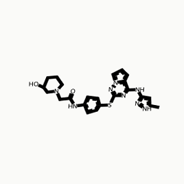 Cc1cc(Nc2nc(Sc3ccc(NC(=O)CN4CCCC(O)C4)cc3)nn3cccc23)n[nH]1